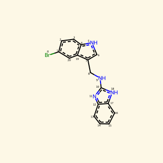 Brc1ccc2[nH]cc(CNc3nc4ccccc4[nH]3)c2c1